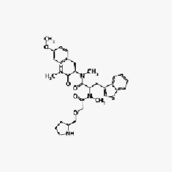 CNC(=O)[C@@H](Cc1ccc(OC)cc1)N(C)C(=O)[C@@H](Cc1csc2ccccc12)N(C)C(=O)COC[C@@H]1CCCN1